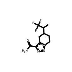 CC(C1CCn2nnc(C(N)=O)c2C1)C(F)(F)F